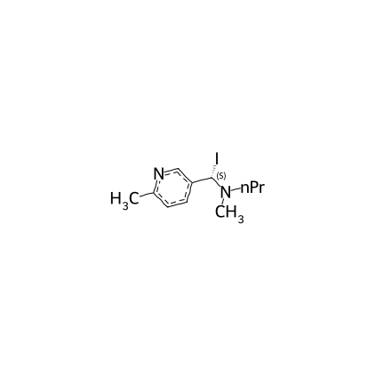 CCCN(C)[C@@H](I)c1ccc(C)nc1